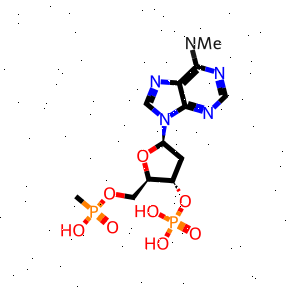 CNc1ncnc2c1ncn2[C@H]1C[C@H](OP(=O)(O)O)[C@@H](COP(C)(=O)O)O1